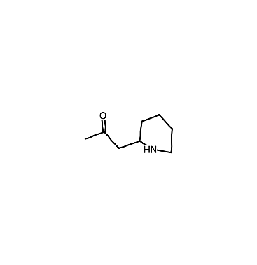 CC(=O)CC1CCCCN1